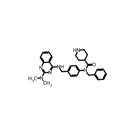 CN(C)c1nc(NCc2ccc(N(Cc3ccccc3)C(=O)C3CCNCC3)cc2)c2ccccc2n1